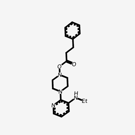 CCNc1cccnc1N1CCN(OC(=O)CCc2ccccc2)CC1